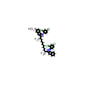 O=S(=O)(O)c1ccc2c(c1)Cc1c(C(CCCCCCCCC(c3nn(-c4ccc(Cl)cc4Cl)c4c3Cc3ccccc3-4)C(F)(F)F)C(F)(F)F)nn(-c3ccc(Cl)cc3Cl)c1-2